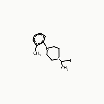 Cc1ccccc1N1CCN(C(C)I)CC1